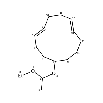 CCOC(C)OC1CC/C=C/CC/C=C/CCC1